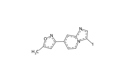 Cc1cc(-c2ccn3c(I)cnc3c2)no1